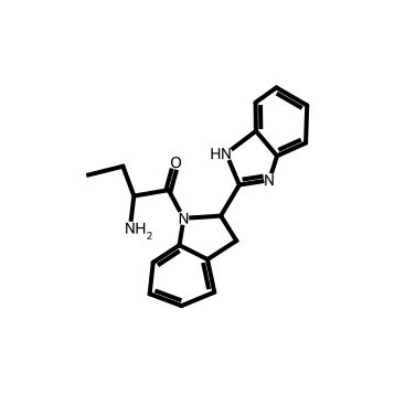 CCC(N)C(=O)N1c2ccccc2CC1c1nc2ccccc2[nH]1